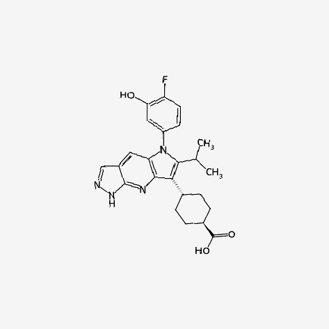 CC(C)c1c([C@H]2CC[C@H](C(=O)O)CC2)c2nc3[nH]ncc3cc2n1-c1ccc(F)c(O)c1